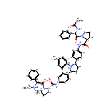 COC(=O)N[C@H](C(=O)N1CCCC1C(=O)Nc1ccc([C@H]2CC[C@H](c3ccc(NC(=O)[C@@H]4CCCN4C(=O)[C@H](c4ccccc4)N(C)C(=O)O)cc3)N2c2ccc(C(F)(F)F)cc2)cc1)c1ccccc1